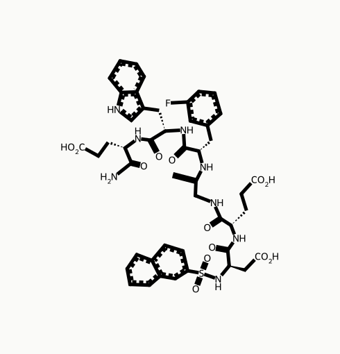 C=C(CNC(=O)[C@H](CCC(=O)O)NC(=O)[C@@H](CC(=O)O)NS(=O)(=O)c1ccc2ccccc2c1)N[C@@H](Cc1cccc(F)c1)C(=O)N[C@@H](Cc1c[nH]c2ccccc12)C(=O)N[C@@H](CCC(=O)O)C(N)=O